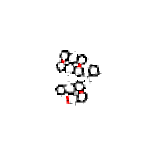 O=P(c1ccccc1)(c1ccc2c(c1)Oc1ccccc1C21c2ccccc2Oc2ccccc21)c1ccc2c(c1)Oc1ccccc1C21c2ccccc2Oc2ccccc21